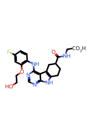 O=C(O)CNC(=O)C1CCc2[nH]c3ncnc(Nc4ccc(F)cc4OCCO)c3c2C1